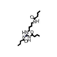 CCCC(=O)/N=C(/NCCCCNC(=O)CCC)NC(=O)CCC